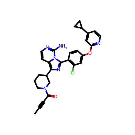 CC#CC(=O)N1CCCC(c2nc(-c3ccc(Oc4cc(C5CC5)ccn4)cc3Cl)n3c(N)nccc23)C1